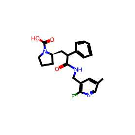 Cc1cnc(F)c(CNC(=O)C(C[C@H]2CCCN2C(=O)O)c2ccccc2)c1